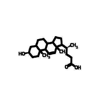 C[C@H](CCC(=O)O)C1CCC2C3CCC4C[C@H](O)CCC4(C)C3C=CC21C